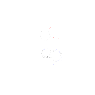 C[C@H]1C[C@@H](n2ccc3c(N)ncnc32)[C@H](O)[C@@H]1O